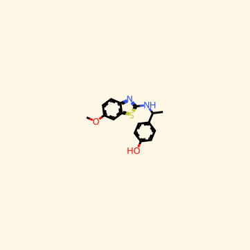 COc1ccc2nc(NC(C)c3ccc(O)cc3)sc2c1